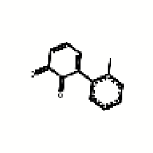 Cc1ccccc1C1=CC=CC(=O)C1=O